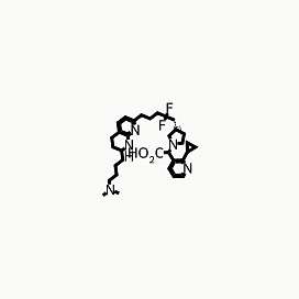 CN(C)CCCCC1CCc2ccc(CCCC(F)(F)C[C@@H]3CCN(C(C(=O)O)c4cccnc4C4CC4)C3)nc2N1